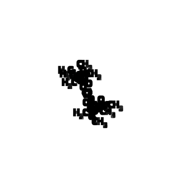 C=C(CC(CC(=C)C(=O)OCC)(C(=O)OCC)C(=O)Oc1ccc(OC(=O)C(CC(=C)C(=O)OCC)(CC(=C)C(=O)OCC)C(=O)OCC)cc1)C(=O)OCC